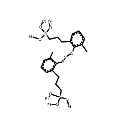 CCO[Si](CCCc1cccc(C)c1SSSc1c(C)cccc1CCC[Si](OCC)(OCC)OCC)(OCC)OCC